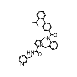 CC(C)c1ccccc1-c1ccc(C(=O)N2Cc3ccc(C(=O)NCc4cccnc4)n3Cc3ccccc32)cc1